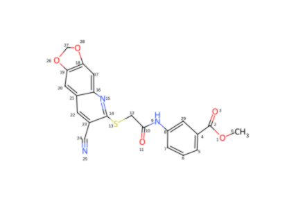 COC(=O)c1cccc(NC(=O)CSc2nc3cc4c(cc3cc2C#N)OCO4)c1